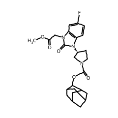 COC(=O)Cn1c(=O)n([C@H]2CCN(C(=O)OC3C4CC5CC(C4)CC3C5)C2)c2ccc(F)cc21